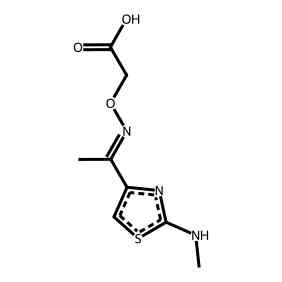 CNc1nc(/C(C)=N/OCC(=O)O)cs1